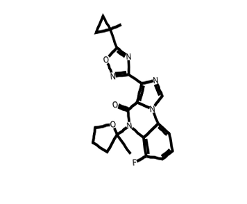 CC1(c2nc(-c3ncn4c3c(=O)n(C3(C)CCCO3)c3c(F)cccc34)no2)CC1